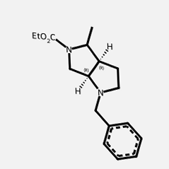 CCOC(=O)N1C[C@H]2[C@H](CCN2Cc2ccccc2)C1C